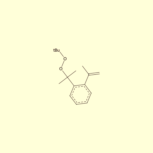 C=C(C)c1ccccc1C(C)(C)OOC(C)(C)C